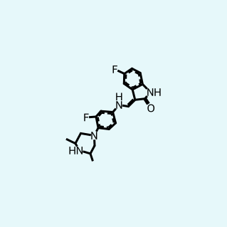 CC1CN(c2ccc(N/C=C3/C(=O)Nc4ccc(F)cc43)cc2F)CC(C)N1